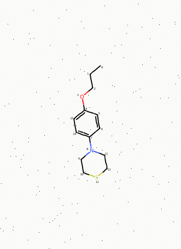 CCCOc1ccc(N2CCSCC2)cc1